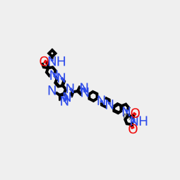 CCC1(C(=O)NC2CCC2)CCN(c2ccc(-c3nc(-c4cnn(C5CCC(N6CCN(c7ccc8c(c7)CCN8[C@@H]7CCC(=O)NC7=O)CC6)CC5)c4)cn4ncc(C#N)c34)cn2)CC1